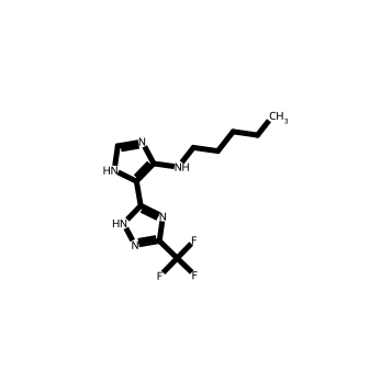 CCCCCNc1nc[nH]c1-c1nc(C(F)(F)F)n[nH]1